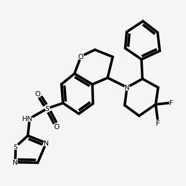 O=S(=O)(Nc1ncns1)c1ccc2c(c1)OCCC2N1CCC(F)(F)CC1c1ccccc1